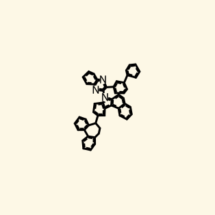 c1ccc(-c2cccc(-c3nc4ccccc4nc3-n3c4ccc(C5CCc6ccccc6-c6ccccc65)cc4c4c5ccccc5ccc43)c2)cc1